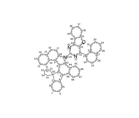 c1ccc2c(c1)-c1c(c3c4c5ccccc5ccc4n(-c4nc(-c5cccc6ccccc56)c5oc6ccccc6c5n4)c3c3ccccc13)C21CCCCC1